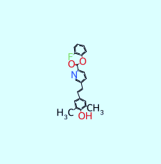 Cc1cc(/C=C/c2ccc(C(=O)Oc3ccccc3F)nc2)cc(C)c1O